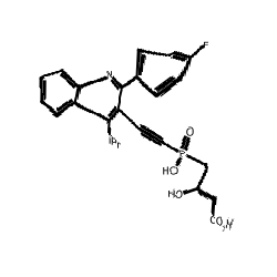 CC(C)c1c(C#CP(=O)(O)CC(O)CC(=O)O)c(-c2ccc(F)cc2)nc2ccccc12